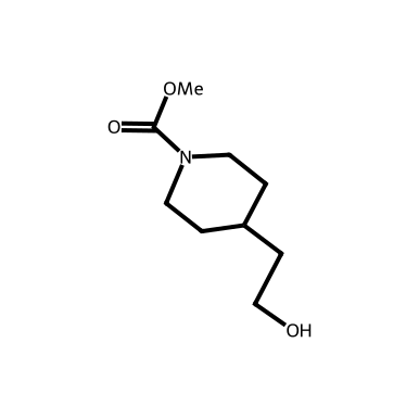 COC(=O)N1CCC(CCO)CC1